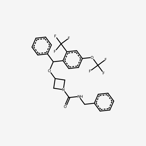 O=C(NCc1ccccc1)N1CC(OC(c2ccccc2)c2ccc(OC(F)(F)F)cc2C(F)(F)F)C1